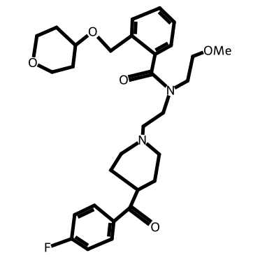 COCCN(CCN1CCC(C(=O)c2ccc(F)cc2)CC1)C(=O)c1ccccc1COC1CCOCC1